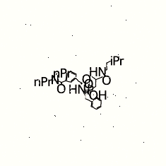 CCCN(CCC)C(=O)c1cccc(C(=O)N[C@@H](Cc2ccccc2)P(=O)(O)CC(C)C(=O)NCCC(C)C)c1